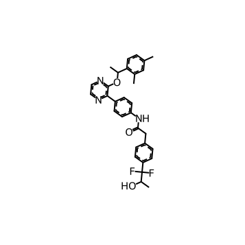 Cc1ccc(C(C)Oc2nccnc2-c2ccc(NC(=O)Cc3ccc(C(F)(F)C(C)O)cc3)cc2)c(C)c1